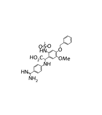 COc1cc(C(Nc2ccc(C(=N)N)cc2)C(=O)O)c(NS(C)(=O)=O)cc1OCc1ccccc1